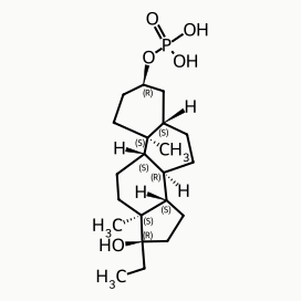 CC[C@@]1(O)CC[C@H]2[C@@H]3CC[C@H]4C[C@H](OP(=O)(O)O)CC[C@]4(C)[C@H]3CC[C@@]21C